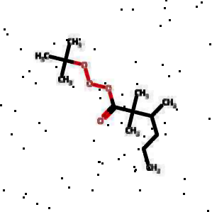 CCCC(C)C(C)(C)C(=O)OOOC(C)(C)C